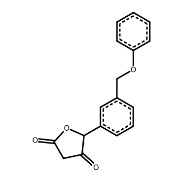 O=C1CC(=O)C(c2cccc(COc3ccccc3)c2)O1